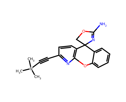 C[Si](C)(C)C#Cc1ccc2c(n1)Oc1ccccc1C21COC(N)=N1